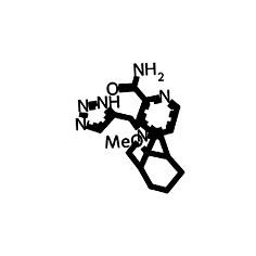 COC1(c2ccnc(C(N)=O)c2)C2CCCC1CN(Cc1cnn[nH]1)C2